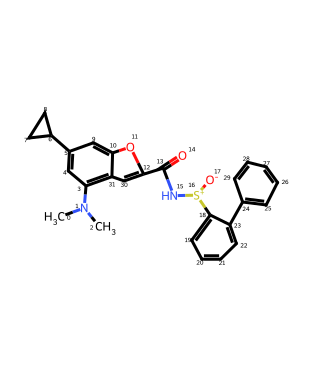 CN(C)c1cc(C2CC2)cc2oc(C(=O)N[S+]([O-])c3ccccc3-c3ccccc3)cc12